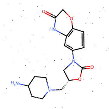 NC1CCN(C[C@@H]2CN(c3ccc4c(c3)NC(=O)CO4)C(=O)O2)CC1